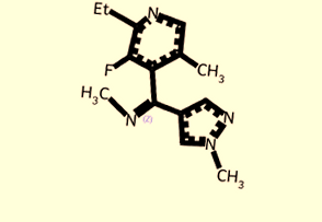 CCc1ncc(C)c(/C(=N\C)c2cnn(C)c2)c1F